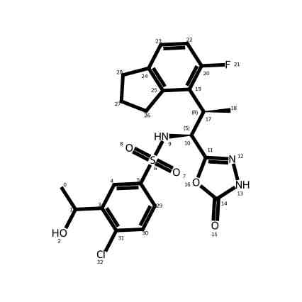 CC(O)c1cc(S(=O)(=O)N[C@H](c2n[nH]c(=O)o2)[C@H](C)c2c(F)ccc3c2CCC3)ccc1Cl